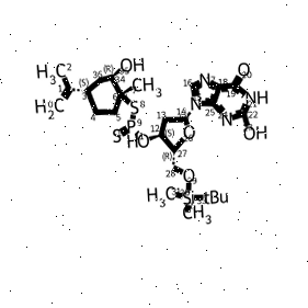 C=C(C)[C@H]1CC[C@@](C)(S[PH](=S)O[C@H]2C[C@H](n3cnc4c(=O)[nH]c(O)nc43)O[C@@H]2CO[Si](C)(C)C(C)(C)C)[C@H](O)C1